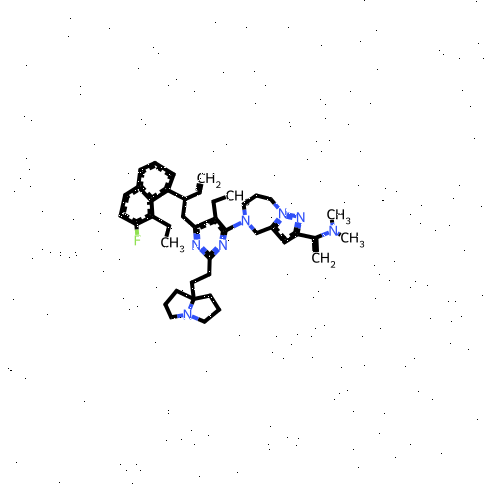 C=CC(Cc1nc(CCC23CCCN2CCC3)nc(N2CCCn3nc(C(=C)N(C)C)cc3C2)c1CC)c1cccc2ccc(F)c(CC)c12